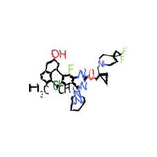 C#Cc1c(C)ccc2c1C(c1c(Cl)cc3c(N4CC5CCC(C4)N5)nc(OCC4(CN5CCC6(CC5)CC6(F)F)CC4)nc3c1F)CC(O)=C2